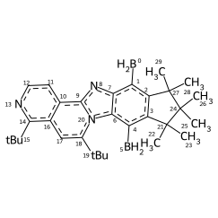 Bc1c2c(c(B)c3c1nc1c4ccnc(C(C)(C)C)c4cc(C(C)(C)C)n13)C(C)(C)C(C)(C)C2(C)C